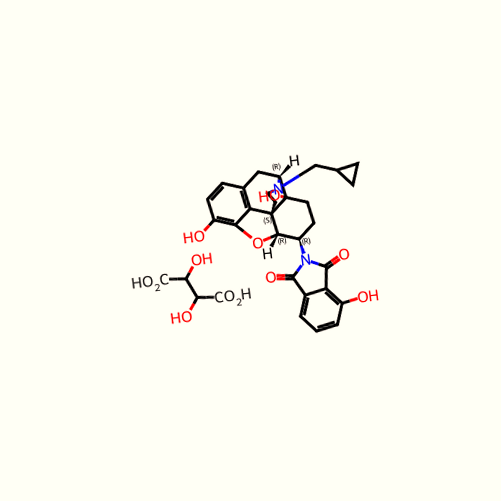 O=C(O)C(O)C(O)C(=O)O.O=C1c2cccc(O)c2C(=O)N1[C@@H]1CCC2(O)[C@H]3Cc4ccc(O)c5c4[C@@]2(CCN3CC2CC2)[C@H]1O5